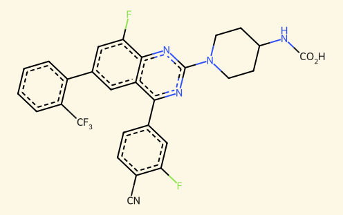 N#Cc1ccc(-c2nc(N3CCC(NC(=O)O)CC3)nc3c(F)cc(-c4ccccc4C(F)(F)F)cc23)cc1F